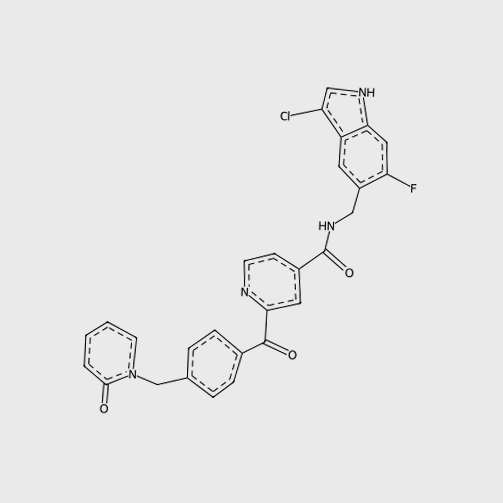 O=C(NCc1cc2c(Cl)c[nH]c2cc1F)c1ccnc(C(=O)c2ccc(Cn3ccccc3=O)cc2)c1